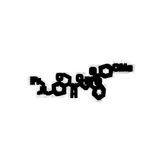 COc1ccc(S(=O)(=O)NC(CC(=O)NC2CCOc3cc(CN(C)CC(C)C)ccc32)c2ccccc2)cc1